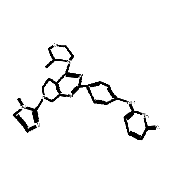 CC1COCCN1c1nc(-c2ccc(Nc3cccc(=O)[nH]3)cc2)nc2c1CCN(c1nccn1C)C2